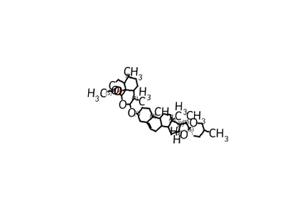 CC1CC[C@]2(OC1)O[C@H]1CC3C4CC=C5C[C@@H](OC6OC7O[C@]8(C)CCC9[C@H](C)CCC([C@H]6C)C79OO8)CC[C@]5(C)C4CC[C@]3(C)[C@H]1[C@@H]2C